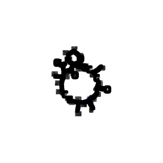 C/C1=C/CC(=O)CCC(C)COC(=O)C23CCCCN2C(=O)C(C3=O)C(C)CCCCCC(C)C1